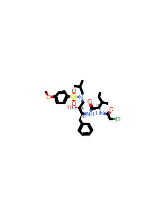 CCC(C)[C@H](NC(=O)CCl)C(=O)N[C@@H](Cc1ccccc1)[C@H](O)CN(CC(C)C)S(=O)(=O)c1ccc(OC)cc1